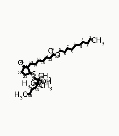 CCCCCCCCCCOC(=O)CCCCCCC1C(=O)CCC1SCC(C)(O)C(C)(C)CCCC